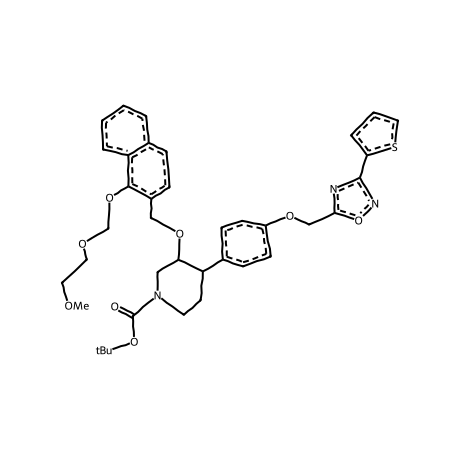 COCCOCOc1c(COC2CN(C(=O)OC(C)(C)C)CCC2c2ccc(OCc3nc(-c4cccs4)no3)cc2)ccc2ccccc12